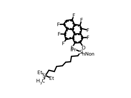 CCCCCCCCC[Si](CCCCCCCC[Si](C)(CC)CC)(Oc1c(F)c2c(F)c(F)c3c(F)[c]c(F)c4c(F)c(F)c(c1F)c2c34)C(C)C